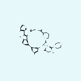 CCc1ccncc1-c1c2c3cc(ccc3n1CC)-c1cc(O)cc(c1)C[C@H](NC(=O)[C@H](C(C)C)N(C)C(=O)N1CCNCC1)C(=O)N1CCC[C@H](N1)C(=O)OCC(C)(C)C2